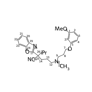 COc1cccc(OCCCN(C)CCCC(C#N)(c2nc3ccccc3o2)C(C)C)c1